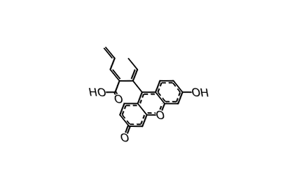 C=C/C=C(C(=O)O)\C(=C/C)c1c2ccc(=O)cc-2oc2cc(O)ccc12